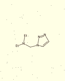 CCN(CC)Cn1ccnn1